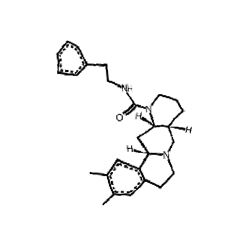 Cc1cc2c(cc1C)[C@@H]1C[C@H]3[C@H](CCCN3C(=O)NCCc3ccccc3)CN1CC2